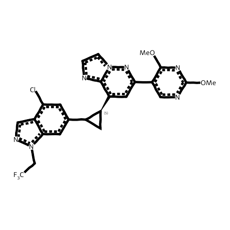 COc1ncc(-c2cc([C@H]3CC3c3cc(Cl)c4cnn(CC(F)(F)F)c4c3)c3nccn3n2)c(OC)n1